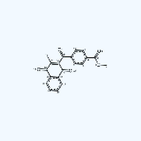 COC(=O)c1ccc(C(=O)C2=C(C)C(=O)c3ccccc3C2=O)cc1